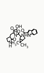 CC1(C)C2CN(C(=O)c3cc4ccccc4[nH]3)C(C(=O)NC(CC3CCNC3=O)C(=O)CO)C21